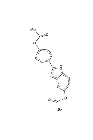 CC(C)(C)C(=O)Oc1ccc(-c2cc3cc(OC(=O)C(C)(C)C)ccc3o2)cc1